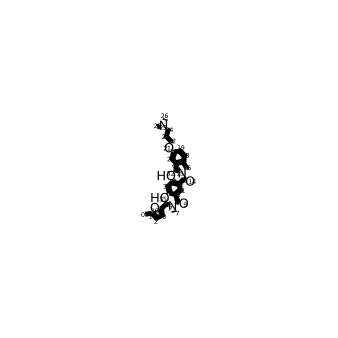 Cc1ccc(CN(C)C(=O)c2cc(C(=O)N3Cc4ccc(OCCCN(C)C)cc4C3)c(O)cc2O)o1